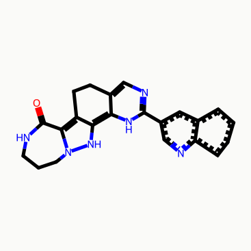 O=C1NCCCN2NC3=C4NC(c5cnc6ccccc6c5)=NC=C4CCC3=C12